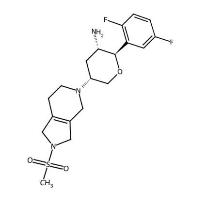 CS(=O)(=O)N1CC2=C(CN([C@H]3CO[C@H](c4cc(F)ccc4F)[C@@H](N)C3)CC2)C1